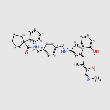 C\N=C/C(Br)=C(C)/C=C(\C=C(/C)NCc1ccc(CNC(=O)C2(c3ccccc3)CCCCC2)cc1)c1ccccc1O